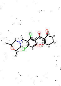 CC1CN(Cc2c(Cl)ccc(C(=O)C3=C(O)CCCC3=O)c2Cl)CC(C)O1